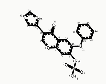 CS(=O)(=O)Nc1cc2occ(-c3cscn3)c(=O)c2cc1Oc1ccccc1